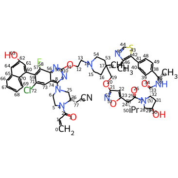 C=CC(=O)N1CCN(c2nc(OCCN3CCC(C)(COc4cc([C@H](C(=O)N5C[C@H](O)C[C@H]5C(=O)N[C@@H](C)c5ccc(-c6scnc6C)cc5)C(C)C)on4)CC3)nc3c(F)c(-c4cc(O)cc5ccccc45)c(Cl)cc23)C[C@@H]1CC#N